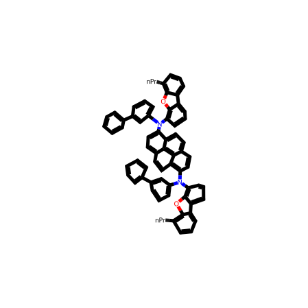 CCCc1cccc2c1oc1c(N(c3cccc(-c4ccccc4)c3)c3ccc4ccc5c(N(c6cccc(-c7ccccc7)c6)c6cccc7c6oc6c(CCC)cccc67)ccc6ccc3c4c65)cccc12